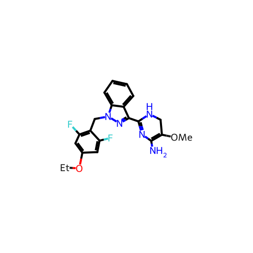 CCOc1cc(F)c(Cn2nc(C3=NC(N)=C(OC)CN3)c3ccccc32)c(F)c1